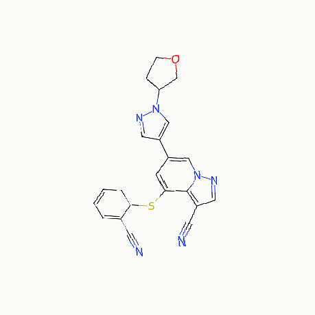 N#CC1=CC=CCC1Sc1cc(-c2cnn(C3CCOC3)c2)cn2ncc(C#N)c12